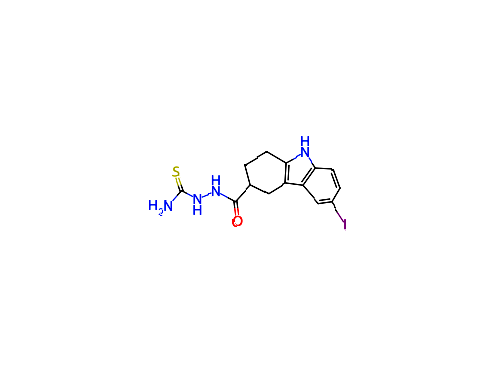 NC(=S)NNC(=O)C1CCc2[nH]c3ccc(I)cc3c2C1